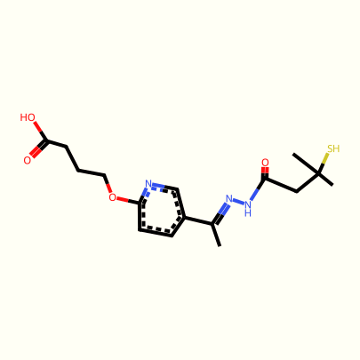 CC(=NNC(=O)CC(C)(C)S)c1ccc(OCCCC(=O)O)nc1